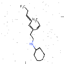 C\C=C/C(=C\C=C\CC(F)(F)F)CCNC1CCCCC1